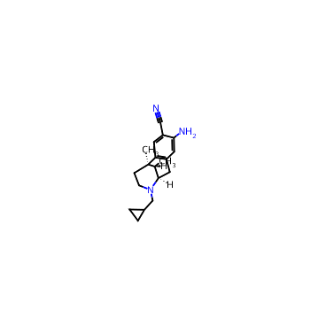 C[C@@H]1[C@H]2Cc3cc(N)c(C#N)cc3[C@]1(C)CCN2CC1CC1